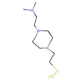 CN(C)CCN1CCN(CCSS)CC1